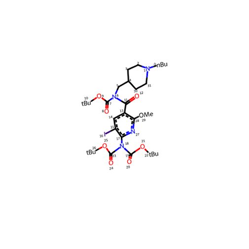 CCCCN1CCC(CN(C(=O)OC(C)(C)C)C(=O)c2cc(I)c(N(C(=O)OC(C)(C)C)C(=O)OC(C)(C)C)nc2OC)CC1